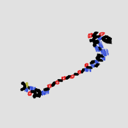 CC(=O)c1c(C)c2cnc(Nc3ccc(N4CCN(CC(=O)NCCOCCOCCOCCOCCOCCNc5ccc(C(=O)Nc6nc(C)c(C)s6)c(C)c5)CC4)cn3)nc2n(C2CCCC2)c1=O